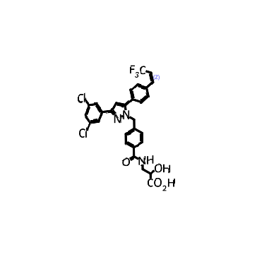 O=C(NCC(O)C(=O)O)c1ccc(Cn2nc(-c3cc(Cl)cc(Cl)c3)cc2-c2ccc(/C=C\C(F)(F)F)cc2)cc1